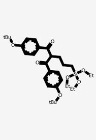 CCO[Si](CCCC(C(=O)c1ccc(OC(C)(C)C)cc1)C(=O)c1ccc(OC(C)(C)C)cc1)(OCC)OCC